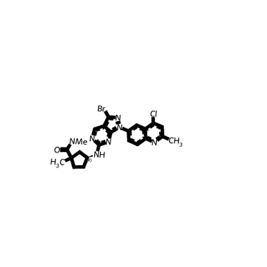 CNC(=O)C1(C)CC[C@@H](Nc2ncc3c(Br)nn(-c4ccc5nc(C)cc(Cl)c5c4)c3n2)C1